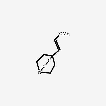 COC=CC12CCN(CC1)CC2